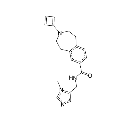 Cn1cncc1CNC(=O)c1ccc2c(c1)CCN(C1=CC=C1)CC2